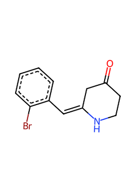 O=C1CCNC(=Cc2ccccc2Br)C1